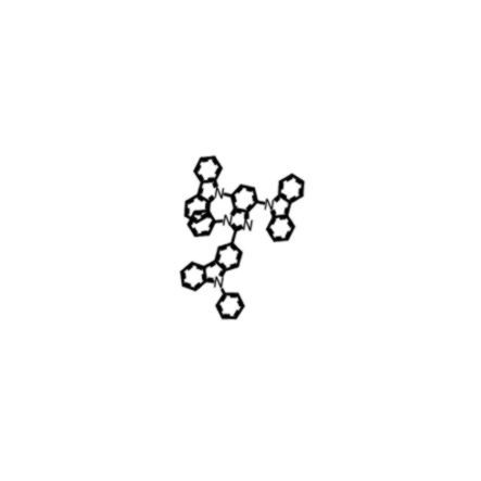 c1ccc(-n2c(-c3ccc4c(c3)c3ccccc3n4-c3ccccc3)nc3c(-n4c5ccccc5c5ccccc54)ccc(-n4c5ccccc5c5ccccc54)c32)cc1